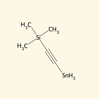 C[Si](C)(C)C#[C][SnH3]